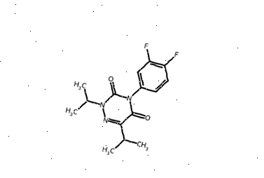 CC(C)c1nn(C(C)C)c(=O)n(-c2ccc(F)c(F)c2)c1=O